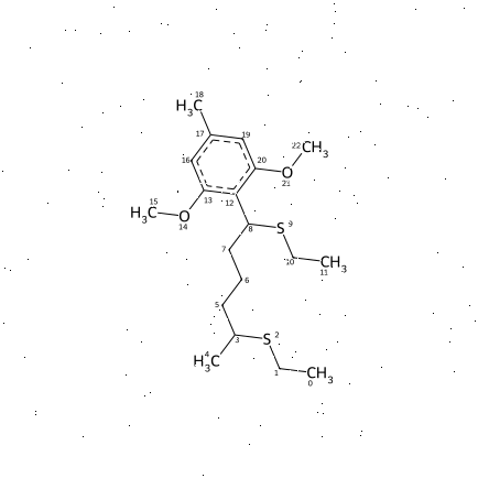 CCSC(C)CCCC(SCC)c1c(OC)cc(C)cc1OC